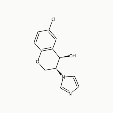 O[C@@H]1c2cc(Cl)ccc2OC[C@@H]1n1ccnc1